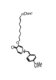 CCCCCCCCCCCCCCCCCCOc1cn(Cc2ccc(OC)cc2)ccc1=O